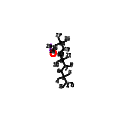 CC(C)C(C)(C)CC(C)C(C)(C)[C@H](CC(C)(C)C)OI